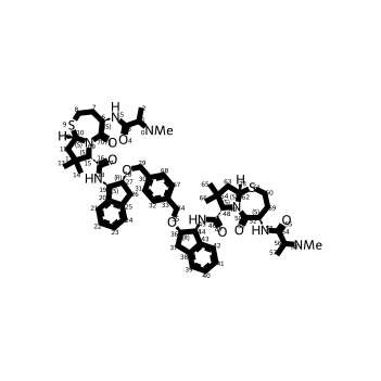 CNC(C)C(=O)N[C@H]1CCS[C@H]2CC(C)(C)[C@@H](C(=O)N[C@H]3c4ccccc4C[C@H]3OCc3ccc(CO[C@@H]4Cc5ccccc5[C@@H]4NC(=O)[C@H]4N5C(=O)[C@@H](NC(=O)C(C)NC)CCS[C@H]5CC4(C)C)cc3)N2C1=O